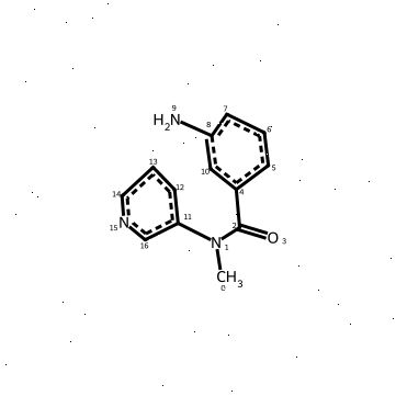 CN(C(=O)c1cccc(N)c1)c1cccnc1